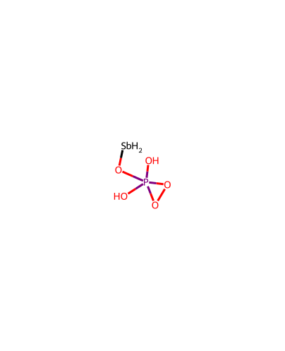 OP1(O)([O][SbH2])OO1